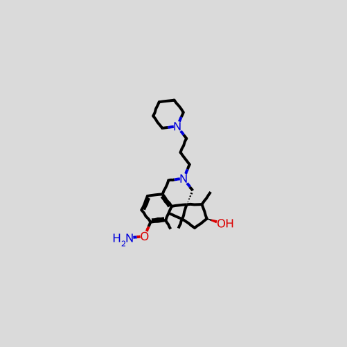 Cc1c(ON)ccc2c1[C@@]1(CN(CCCN3CCCCC3)C2)C(C)[C@@H](O)CC1(C)C